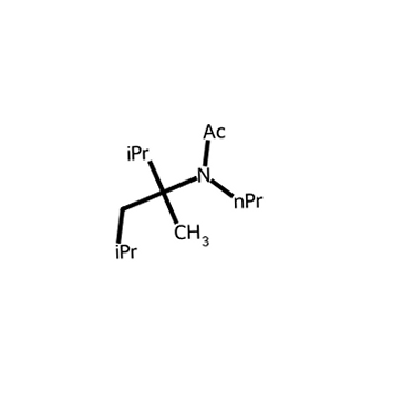 CCCN(C(C)=O)C(C)(CC(C)C)C(C)C